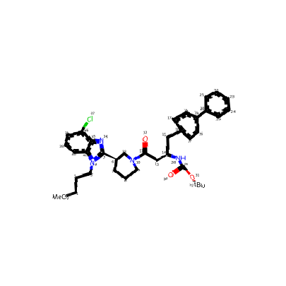 COCCCn1c([C@@H]2CCCN(C(=O)C[C@@H](Cc3ccc(-c4ccccc4)cc3)NC(=O)OC(C)(C)C)C2)nc2c(Cl)cccc21